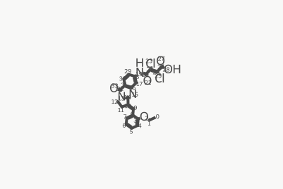 CCOc1ccccc1C=C1CCn2c1nc1cc(NC(=O)C(Cl)=C(Cl)C(=O)O)ccc1c2=O